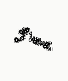 O=C(NCCCOc1cccc(C(O)(C(=O)OCC2CCN(Cc3ccccc3)CC2)c2ccccc2)c1)c1ccc(CNC[C@H](O)c2ccc(O)c3[nH]c(=O)ccc23)c(C(F)(F)F)c1